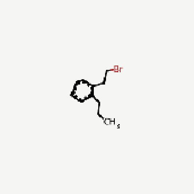 CCCc1ccccc1CCBr